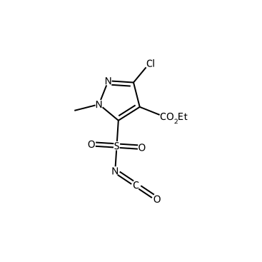 CCOC(=O)c1c(Cl)nn(C)c1S(=O)(=O)N=C=O